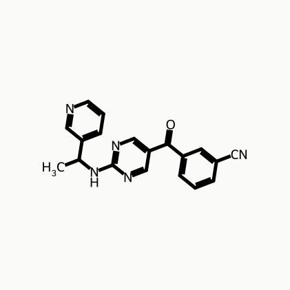 CC(Nc1ncc(C(=O)c2cccc(C#N)c2)cn1)c1cccnc1